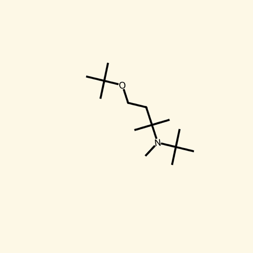 CN(C(C)(C)C)C(C)(C)CCOC(C)(C)C